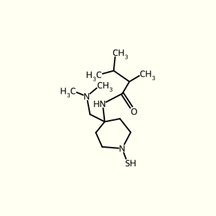 CC(C)C(C)C(=O)NC1(CN(C)C)CCN(S)CC1